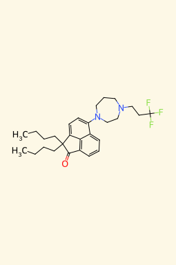 CCCCC1(CCCC)C(=O)c2cccc3c(N4CCCN(CCC(F)(F)F)CC4)ccc1c23